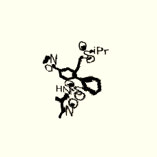 Cc1noc(NS(=O)(=O)c2ccccc2-c2ccc(-c3ncco3)cc2CCS(=O)(=O)C(C)C)c1C